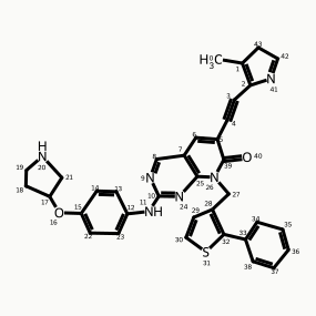 CC1=C(C#Cc2cc3cnc(Nc4ccc(OC5CCNC5)cc4)nc3n(Cc3ccsc3-c3ccccc3)c2=O)N=CC1